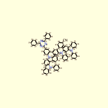 N#Cc1ccc(-c2cc(-c3cc(-c4nc(-c5ccccc5)nc(-c5ccccc5)n4)ccc3-n3c4ccccc4c4c3ccc3c5ccccc5n(-c5ccccc5)c34)ccc2-n2c3ccccc3c3c2ccc2c4ccccc4n(-c4ccccc4)c23)cc1